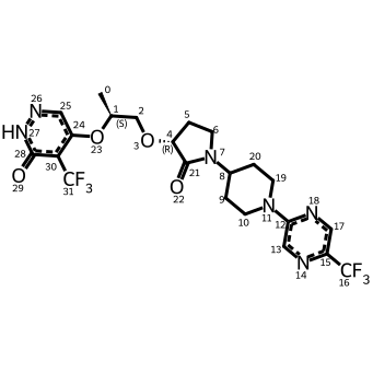 C[C@@H](CO[C@@H]1CCN(C2CCN(c3cnc(C(F)(F)F)cn3)CC2)C1=O)Oc1cn[nH]c(=O)c1C(F)(F)F